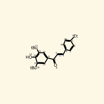 CCc1ccc(/C=C/C(=O)c2cc(C(C)(C)C)c(O)c(C(C)(C)C)c2)cc1